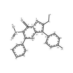 CCc1nn2c(=O)c([N+](=O)[O-])c(-c3ccccc3)[nH]c2c1-c1ccc(C)cc1